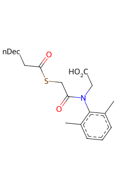 CCCCCCCCCCCC(=O)SCC(=O)N(CC(=O)O)c1c(C)cccc1C